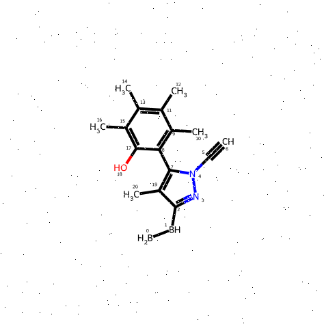 BBc1nn(C#C)c(-c2c(C)c(C)c(C)c(C)c2O)c1C